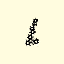 c1ccc2c(c1)CC(c1ccc3cc(-c4ccc5c6ccccc6c6nc7ccccc7n6c5c4)ccc3c1)=N2